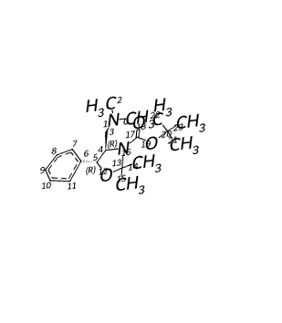 CN(C)C[C@@H]1[C@@H](c2ccccc2)OC(C)(C)N1C(=O)OC(C)(C)C